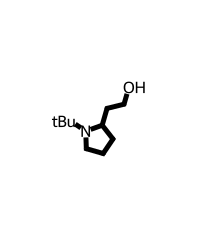 CC(C)(C)N1CCCC1CCO